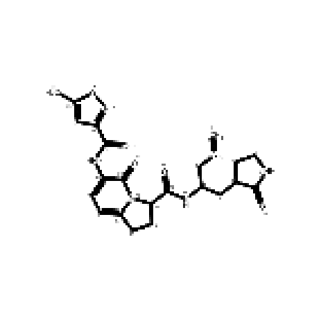 C=NCC(CC1CCNC1=O)NC(=O)C1CCc2ccc(NC(=O)c3cc(C)on3)c(=O)n21